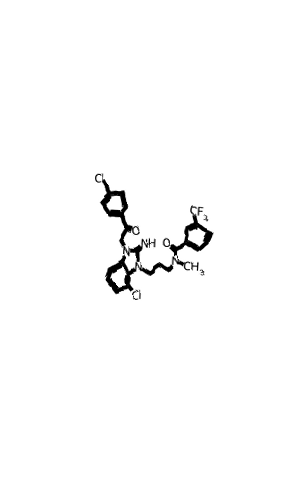 CN(CCCn1c(=N)n(CC(=O)c2ccc(Cl)cc2)c2cccc(Cl)c21)C(=O)c1cccc(C(F)(F)F)c1